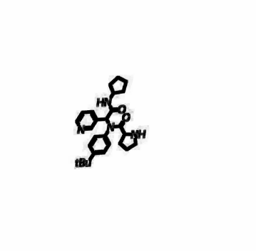 CC(C)(C)c1ccc(N(C(=O)C2CCCN2)C(C(=O)NC2CCCC2)c2cccnc2)cc1